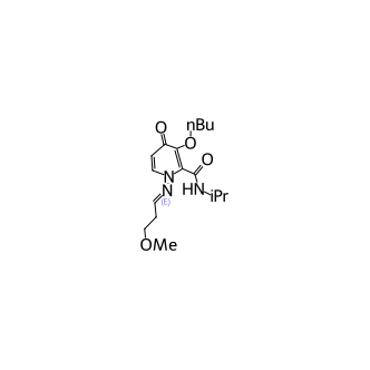 CCCCOc1c(C(=O)NC(C)C)n(/N=C/CCOC)ccc1=O